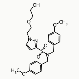 COc1ccc(CN(Cc2ccc(OC)cc2)S(=O)(=O)c2ccn(CCOCCO)n2)cc1